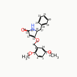 COc1ccc(OC)c(COC2=CC(=O)NC2Cc2ccccc2)c1